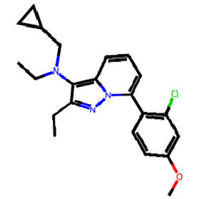 CCc1nn2c(-c3ccc(OC)cc3Cl)cccc2c1N(CC)CC1CC1